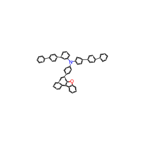 c1ccc(-c2ccc(-c3ccc(N(c4ccc(-c5cc6ccccc6c6c5oc5ccccc56)cc4)c4cccc(-c5ccc(-c6ccccc6)cc5)c4)cc3)cc2)cc1